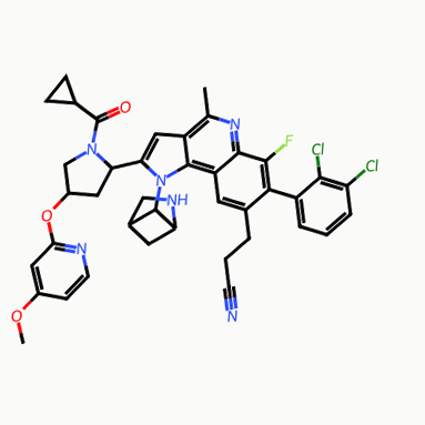 COc1ccnc(OC2CC(c3cc4c(C)nc5c(F)c(-c6cccc(Cl)c6Cl)c(CCC#N)cc5c4n3C3C4CNC3C4)N(C(=O)C3CC3)C2)c1